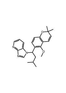 COc1c(C(CC(C)C)n2cnc3ncccc32)ccc2c1C=CC(C)(C)O2